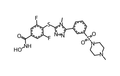 CN1CCN(S(=O)(=O)c2cccc(-c3nnc(Sc4c(F)cc(C(=O)NO)cc4F)n3C)c2)CC1